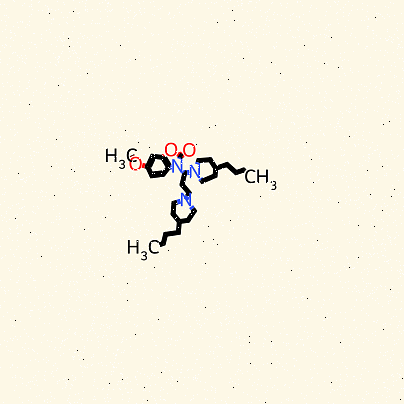 CCCCC1CCN(CCC(N2CCC(CCCC)CC2)n2c(=O)oc3cc(OC)ccc32)CC1